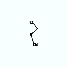 C[CH]CSC#N